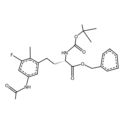 CC(=O)Nc1cc(F)c(C)c(CC[C@H](NC(=O)OC(C)(C)C)C(=O)OCc2ccccc2)c1